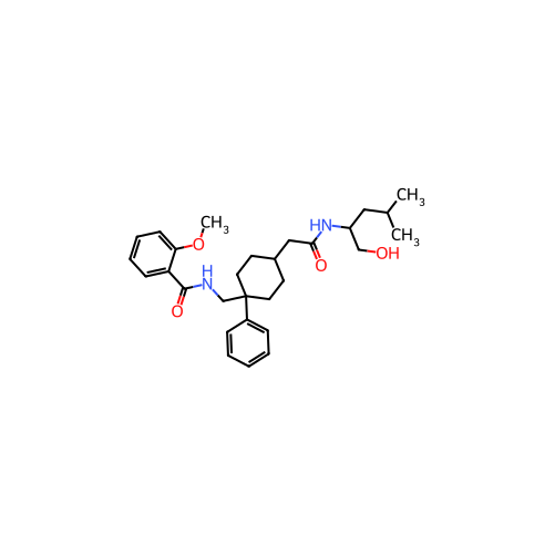 COc1ccccc1C(=O)NCC1(c2ccccc2)CCC(CC(=O)NC(CO)CC(C)C)CC1